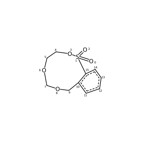 O=S1(=O)OCCOCOCc2ccccc21